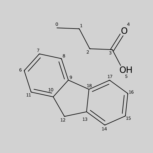 CCCC(=O)O.c1ccc2c(c1)Cc1ccccc1-2